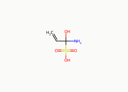 C=CC(N)(O)S(=O)(=O)O